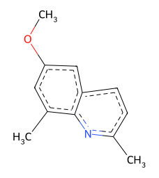 COc1cc(C)c2nc(C)ccc2c1